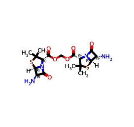 CC1(C)S[C@@H]2[C@H](N)C(=O)N2[C@H]1C(=O)OCOC(=O)[C@@H]1N2C(=O)[C@H](N)[C@H]2SC1(C)C